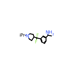 CC(N)c1cccc(C(F)(F)C2CCN(C(C)C)CC2)c1